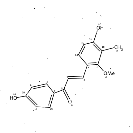 COc1c(C=CC(=O)c2ccc(O)cc2)ccc(O)c1C